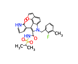 Cc1cccc(Cn2c(C(=O)NS(=O)(=O)C(C)C)c(-c3ccc[nH]c3=O)c3c4occc4ccc32)c1F